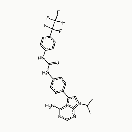 CC(C)n1cc(-c2ccc(NC(=O)Nc3ccc(C(F)(F)C(F)(F)F)cc3)cc2)c2c(N)ncnc21